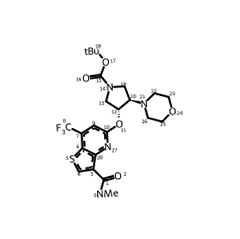 CNC(=O)c1csc2c(C(F)(F)F)cc(O[C@@H]3CN(C(=O)OC(C)(C)C)C[C@H]3N3CCOCC3)nc12